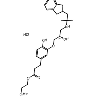 COCCOC(=O)CCc1ccc(C#N)c(OC[C@H](O)CNC(C)(C)CC2Cc3ccccc3C2)c1.Cl